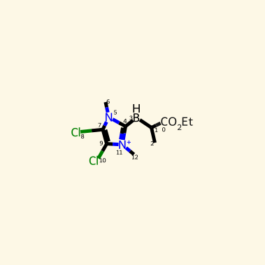 CCOC(=O)C(C)Bc1n(C)c(Cl)c(Cl)[n+]1C